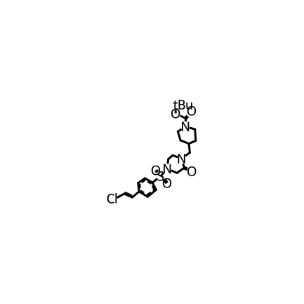 CC(C)(C)OC(=O)N1CCC(CN2CCN(S(=O)(=O)c3ccc(C=CCl)cc3)CC2=O)CC1